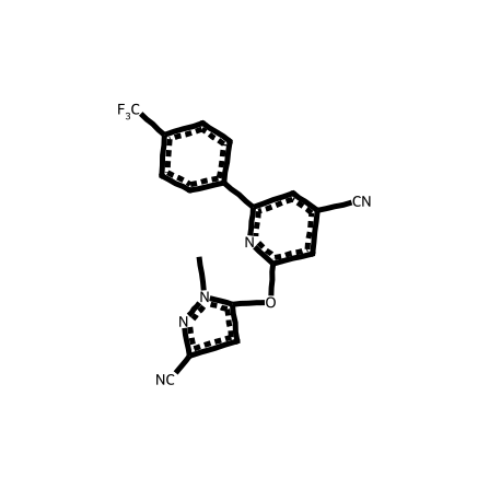 Cn1nc(C#N)cc1Oc1cc(C#N)cc(-c2ccc(C(F)(F)F)cc2)n1